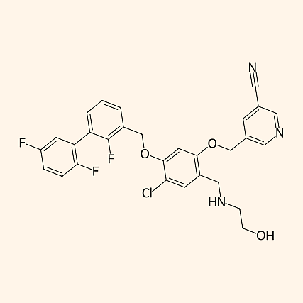 N#Cc1cncc(COc2cc(OCc3cccc(-c4cc(F)ccc4F)c3F)c(Cl)cc2CNCCO)c1